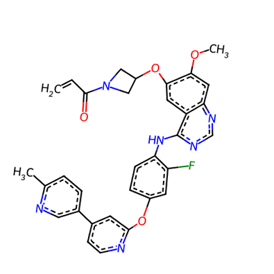 C=CC(=O)N1CC(Oc2cc3c(Nc4ccc(Oc5cc(-c6ccc(C)nc6)ccn5)cc4F)ncnc3cc2OC)C1